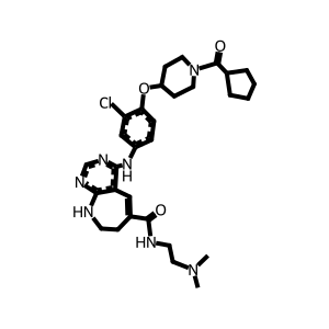 CN(C)CCNC(=O)C1=Cc2c(ncnc2Nc2ccc(OC3CCN(C(=O)C4CCCC4)CC3)c(Cl)c2)NCC1